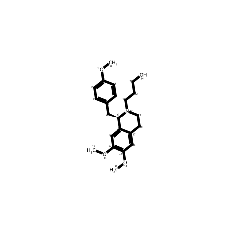 COc1ccc(C[C@@H]2c3cc(OC)c(OC)cc3CCN2CCCO)cc1